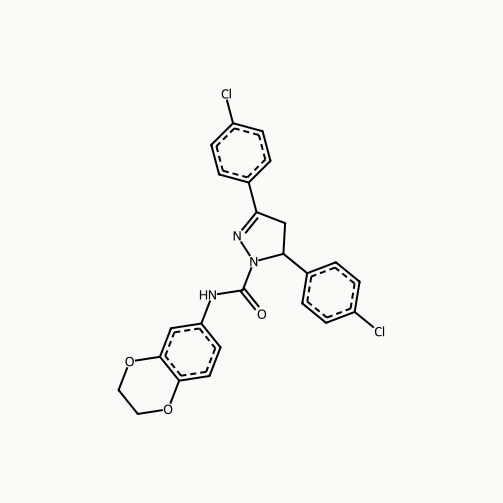 O=C(Nc1ccc2c(c1)OCCO2)N1N=C(c2ccc(Cl)cc2)CC1c1ccc(Cl)cc1